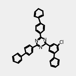 Clc1cc(-c2ccccc2)cc(-c2nc(-c3ccc(C4=CCCC=C4)cc3)nc(-c3ccc(-c4ccccc4)cc3)n2)c1